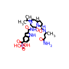 CC(C)N1CC[C@H]2CC[C@@H](C(=O)N[C@H](C)CCC(N)=O)N2C(=O)[C@@H](NC(=O)c2cc3cc(C(=O)P(=O)(O)O)ccc3[nH]2)C1